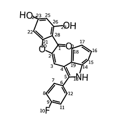 O=C1C(=Cc2c(-c3ccc(F)cc3)[nH]c3ccccc23)Oc2cc(O)cc(O)c21